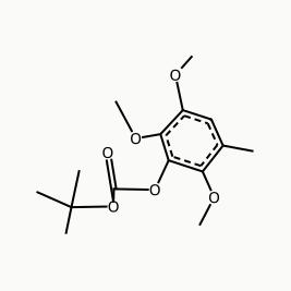 COc1cc(C)c(OC)c(OC(=O)OC(C)(C)C)c1OC